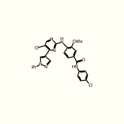 COc1cc(C(=O)Nc2ccc(Cl)cc2)ccc1Nc1ncc(Cl)c(-c2cnn(C(C)C)c2)n1